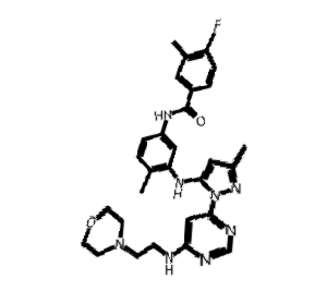 Cc1cc(Nc2cc(NC(=O)c3ccc(F)c(C)c3)ccc2C)n(-c2cc(NCCN3CCOCC3)ncn2)n1